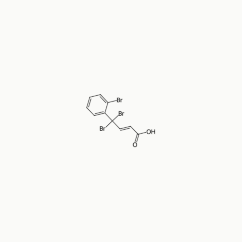 O=C(O)C=CC(Br)(Br)c1ccccc1Br